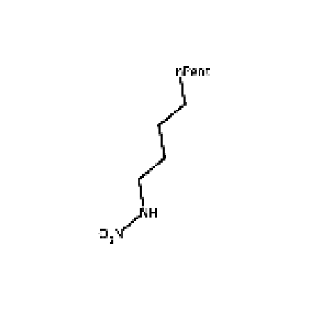 CCCCCCCCCN[N+](=O)[O-]